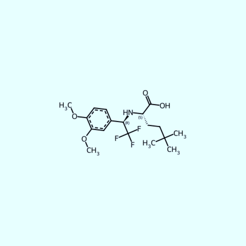 COc1ccc([C@@H](N[C@@H](CCC(C)(C)C)C(=O)O)C(F)(F)F)cc1OC